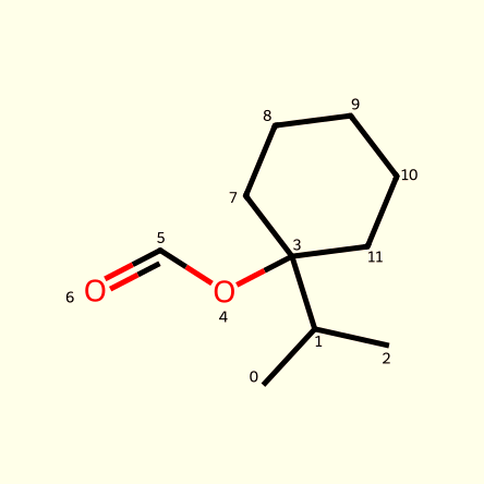 CC(C)C1(OC=O)CCCCC1